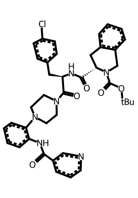 CC(C)(C)OC(=O)N1Cc2ccccc2C[C@H]1C(=O)N[C@H](Cc1ccc(Cl)cc1)C(=O)N1CCN(c2ccccc2NC(=O)c2cccnc2)CC1